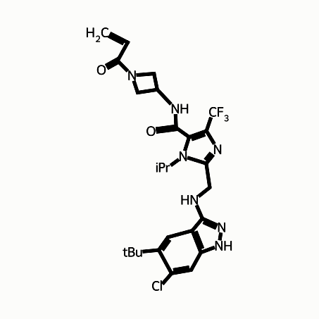 C=CC(=O)N1CC(NC(=O)c2c(C(F)(F)F)nc(CNc3n[nH]c4cc(Cl)c(C(C)(C)C)cc34)n2C(C)C)C1